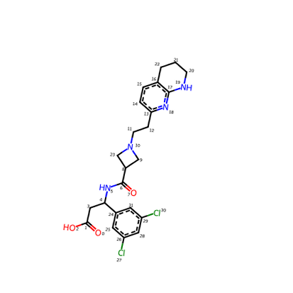 O=C(O)CC(NC(=O)C1CN(CCc2ccc3c(n2)NCCC3)C1)c1cc(Cl)cc(Cl)c1